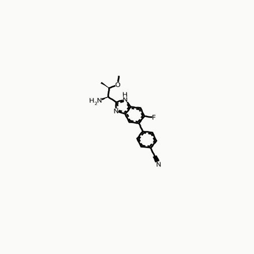 CO[C@H](C)[C@H](N)c1nc2cc(-c3ccc(C#N)cc3)c(F)cc2[nH]1